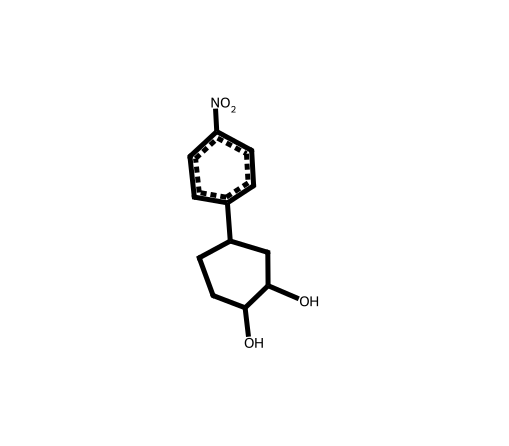 O=[N+]([O-])c1ccc(C2CCC(O)C(O)C2)cc1